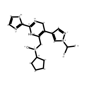 [O-][S+](CC1=C(c2cnn(C(F)F)c2)CN=C(c2nccs2)N1)C1CCCC1